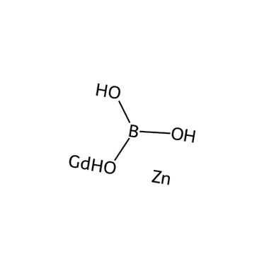 OB(O)O.[Gd].[Zn]